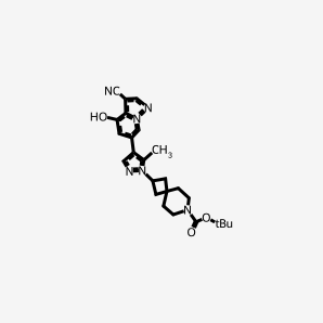 Cc1c(-c2cc(O)c3c(C#N)cnn3c2)cnn1C1CC2(CCN(C(=O)OC(C)(C)C)CC2)C1